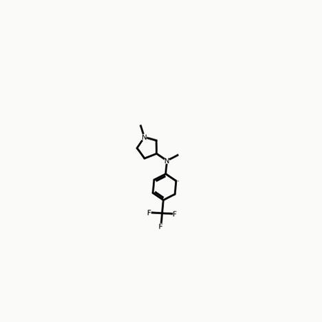 CN1CCC(N(C)C2=CC=C(C(F)(F)F)C[CH]2)C1